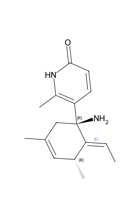 C/C=C1\[C@H](C)C=C(C)C[C@]1(N)c1ccc(=O)[nH]c1C